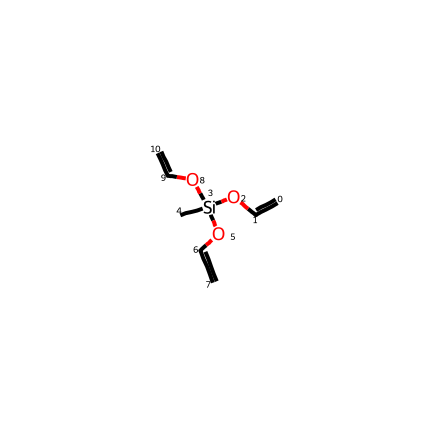 C=CO[Si](C)(OC=C)OC=C